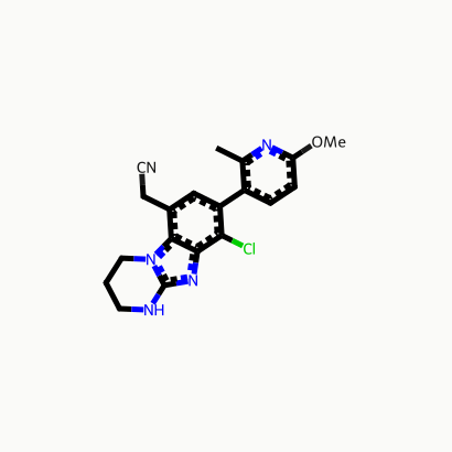 COc1ccc(-c2cc(CC#N)c3c(nc4n3CCCN4)c2Cl)c(C)n1